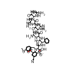 CN(C)c1ccc(CN(c2c([N+](=O)[O-])cc(C#N)cc2[N+](=O)[O-])C(CO)C(=O)NC(C(=O)NC(NC(=N)N)C(=O)NC(NC(=N)N)C(=O)NC(NC(=N)N)C(=O)NC(NC(=N)N)C(N)=O)c2ccccc2)cc1